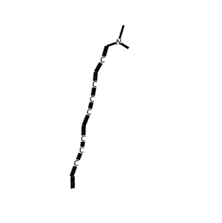 C=C=C=C=C=C=C=C=C=C=C=CN(C)C